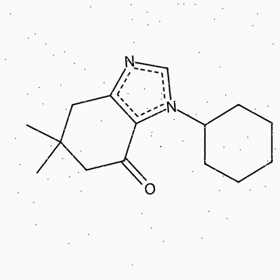 CC1(C)CC(=O)c2c(ncn2C2CCCCC2)C1